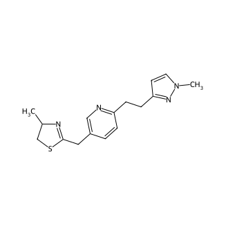 CC1CSC(Cc2ccc(CCc3ccn(C)n3)nc2)=N1